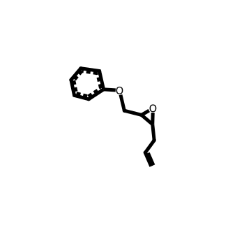 C=CCC1OC1COc1ccccc1